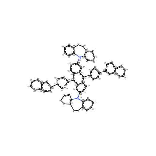 C1=CC2=C(CC1)CCc1ccccc1N2c1ccc2c(-c3ccc(-c4ccc5ccccc5c4)cc3)c3cc(N4c5ccccc5CCc5ccccc54)ccc3c(-c3ccc(-c4ccc5ccccc5c4)cc3)c2c1